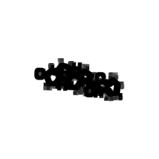 C[C@]12CC[C@@H]3[C@@H](CCC4=CC(=O)CC[C@@H]43)[C@H]1CCC2(O)c1cc2ccccc2o1